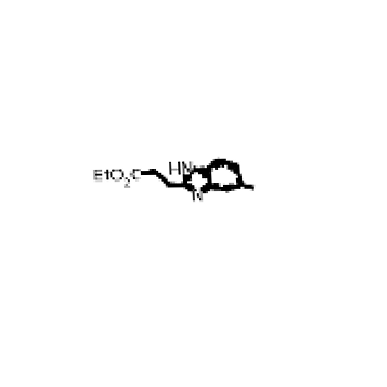 CCOC(=O)CCc1nc2cc(C)ccc2[nH]1